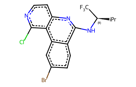 CC(C)[C@@H](Nc1nc2ccnc(Cl)c2c2cc(Br)ccc12)C(F)(F)F